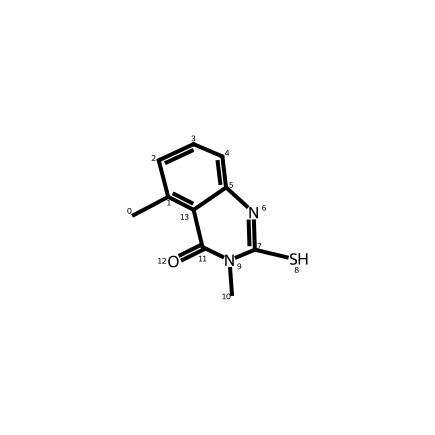 Cc1cccc2nc(S)n(C)c(=O)c12